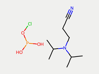 CC(C)N(CCC#N)C(C)C.OP(O)OCl